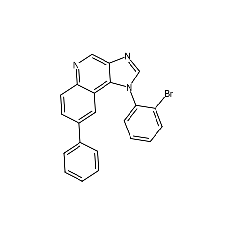 Brc1ccccc1-n1cnc2cnc3ccc(-c4ccccc4)cc3c21